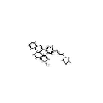 O=C(C1=C(c2ccccc2)CCc2cc(O)ccc21)c1ccc(OCCN2CCCC2)cc1